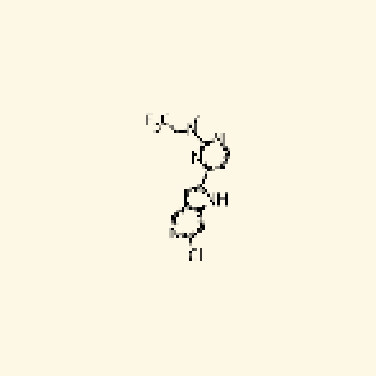 CN(CC(F)(F)F)c1nccc(-c2cc3cnc(Cl)cc3[nH]2)n1